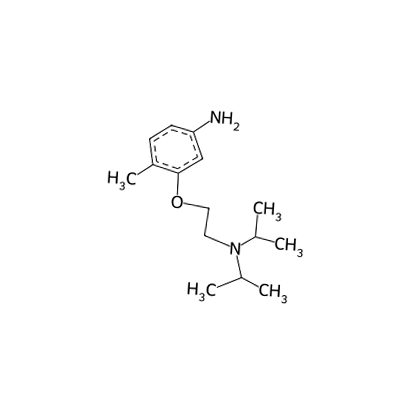 Cc1ccc(N)cc1OCCN(C(C)C)C(C)C